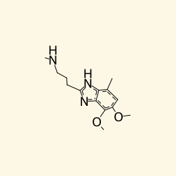 CNCCCc1nc2c(OC)c(OC)cc(C)c2[nH]1